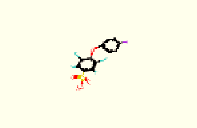 O=S(=O)(O)c1c(F)c(F)c(Oc2ccc(I)cc2)c(F)c1F